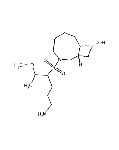 COC(C)C(CCCN)S(=O)(=O)N1CCCCN2[C@H](C[C@H]2O)C1